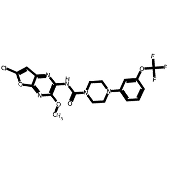 COc1nc2oc(Cl)cc2nc1NC(=O)N1CCN(c2cccc(OC(F)(F)F)c2)CC1